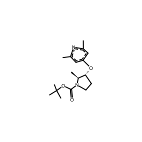 Cc1cc(O[C@@H]2CCN(C(=O)OC(C)(C)C)[C@H]2C)cc(C)n1